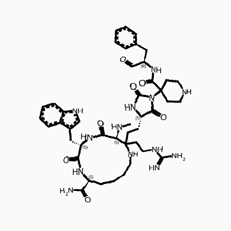 CN[C@@H]1C(=O)N[C@@H](Cc2c[nH]c3ccccc23)C(=O)N[C@H](C(N)=O)CCCCNC1(CCNC(=N)N)CC[C@@H]1NC(=O)N(C2(C(=O)N[C@@H](C=O)Cc3ccccc3)CCNCC2)C1=O